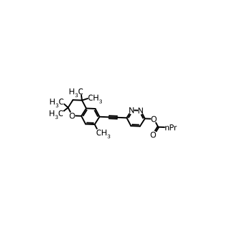 CCCC(=O)Oc1ccc(C#Cc2cc3c(cc2C)OC(C)(C)CC3(C)C)nn1